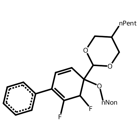 CCCCCCCCCOC1(C2OCC(CCCCC)CO2)C=CC(c2ccccc2)=C(F)C1F